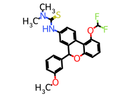 COc1cccc(C2Oc3cccc(OC(F)F)c3-c3ccc(NC(=S)N(C)C)cc32)c1